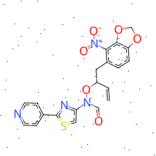 C=CC(Cc1ccc2c(c1[N+](=O)[O-])OCO2)ON(C=O)c1csc(-c2ccncc2)n1